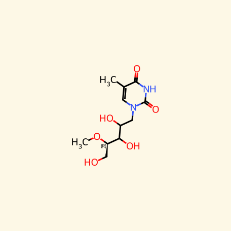 CO[C@H](CO)C(O)C(O)Cn1cc(C)c(=O)[nH]c1=O